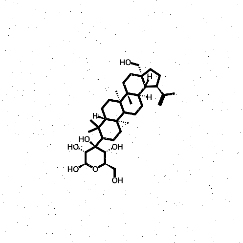 C=C(C)[C@@H]1CC[C@]2(CO)CC[C@]3(C)[C@H](CCC4[C@@]5(C)CCC([C@]6(O)[C@H](O)[C@@H](CO)O[C@@H](O)[C@@H]6O)C(C)(C)[C@@H]5CC[C@]43C)[C@@H]12